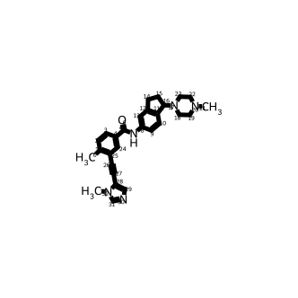 Cc1ccc(C(=O)Nc2ccc3c(c2)CCC3N2CCN(C)CC2)cc1C#Cc1cncn1C